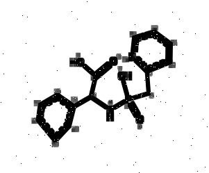 O=C(O)C(NP(=O)(O)Cc1ccccn1)c1ccccc1